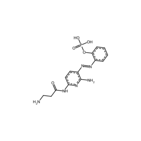 NCCC(=O)Nc1ccc(/N=N/c2ccccc2OP(=O)(O)O)c(N)n1